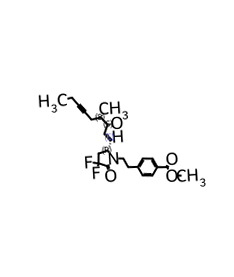 CCC#CC[C@H](C)[C@H](O)/C=C/[C@H]1CC(F)(F)C(=O)N1CCc1ccc(C(=O)OC)cc1